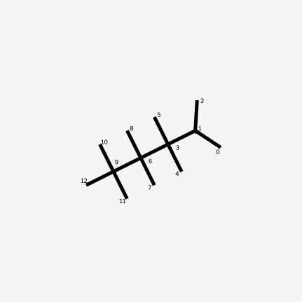 C[C](C)C(C)(C)C(C)(C)C(C)(C)C